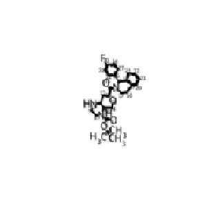 CC(C)(C)OC(=O)N1CCNC2CC(C(=O)N3CCc4ccccc4[C@@H]3c3ccc(F)cc3)OC[C@H]21